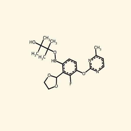 Cc1ccnc(Oc2ccc(BOC(C)(C)C(C)(C)O)c(C3OCCO3)c2F)n1